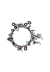 CCCC[C@H]1C(=O)N(C)[C@@H](CCCC)C(=O)N[C@@H](CCCNC(=N)N)C(=O)N[C@H](C(=O)NCC(N)=O)CSCC(=O)N[C@@H](Cc2ccccc2)C(=O)N(C)[C@@H](C)C(=O)N[C@@H](CC(N)=O)C(=O)N2CCC[C@H]2C(=O)N[C@@H](Cc2cnc[nH]2)C(=O)N[C@@H](CC(C)C)C(=O)N(C)CC(=O)N[C@@H](Cc2c[nH]c3ccccc23)C(=O)N[C@@H](CO)C(=O)N[C@@H](Cc2ccc(-c3ccccc3C)cc2)C(=O)N1C